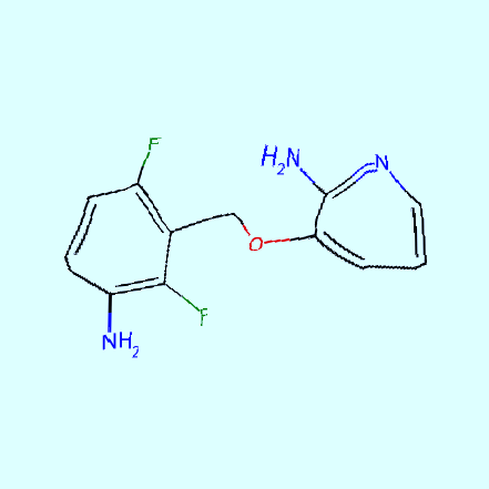 Nc1ccc(F)c(COc2cccnc2N)c1F